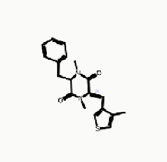 Cc1cscc1/C=C1/C(=O)N(C)C(Cc2ccccc2)C(=O)N1C